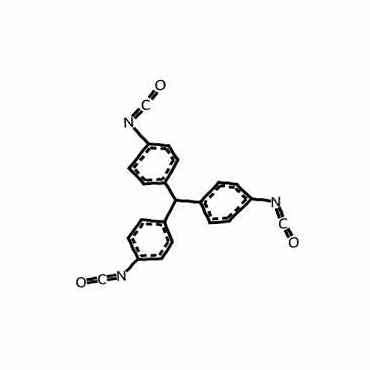 O=C=Nc1ccc(C(c2ccc(N=C=O)cc2)c2ccc(N=C=O)cc2)cc1